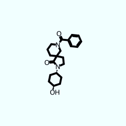 O=C(c1ccccc1)N1CCCC2(CCN([C@H]3CC[C@H](O)CC3)C2=O)C1